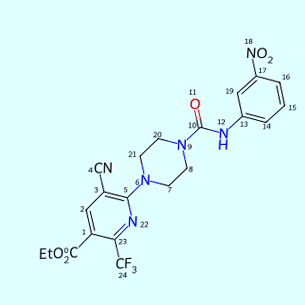 CCOC(=O)c1cc(C#N)c(N2CCN(C(=O)Nc3cccc([N+](=O)[O-])c3)CC2)nc1C(F)(F)F